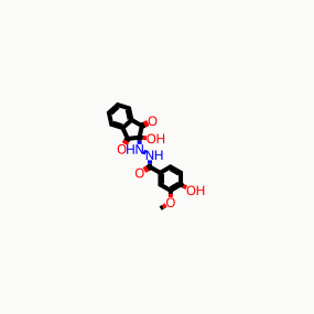 COc1cc(C(=O)NNC2(O)C(=O)c3ccccc3C2=O)ccc1O